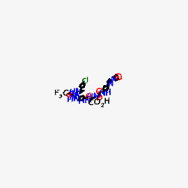 O=C(NCC[C@H](NC(=O)c1ccc(Nc2nc(NC3(c4ccc(Cl)cc4)CC3)nc(OCC(F)(F)F)n2)cc1)C(=O)O)C(=O)Nc1ccc(C2=CCC(N3CCOCC3)=N2)cc1